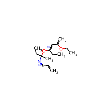 C=C/C=N\C(C)(CC)O/C(=C/C(=C)OCC)CC